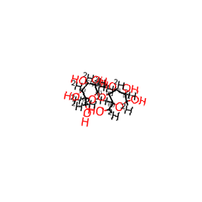 [2H]C(O)[C@@]1([2H])OC([2H])(O)[C@]([2H])(O)[C@@]([2H])(O)[C@]1([2H])O[C@]1([2H])O[C@]([2H])(C([2H])([2H])O)[C@]([2H])(O)[C@]([2H])(O)[C@@]1([2H])O